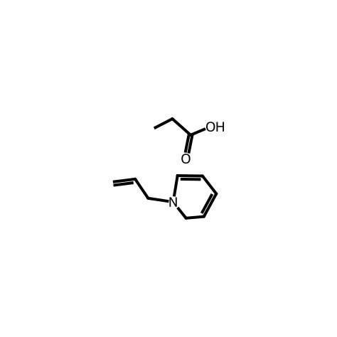 C=CCN1C=CC=CC1.CCC(=O)O